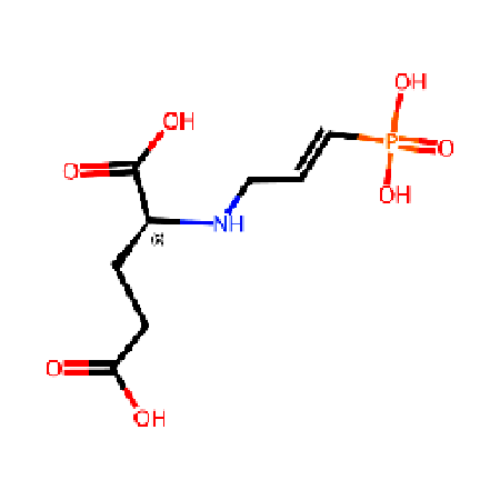 O=C(O)CC[C@H](NCC=CP(=O)(O)O)C(=O)O